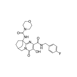 O=C(NCc1ccc(F)cc1)c1nc2n(c(=O)c1O)CC1CCC2(NC(=O)N2CCOCC2)CC1